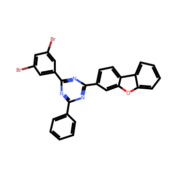 Brc1cc(Br)cc(-c2nc(-c3ccccc3)nc(-c3ccc4c(c3)oc3ccccc34)n2)c1